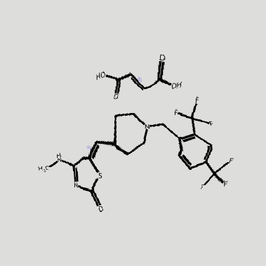 CNC1=NC(=O)S/C1=C\C1CCN(Cc2ccc(C(F)(F)F)cc2C(F)(F)F)CC1.O=C(O)/C=C/C(=O)O